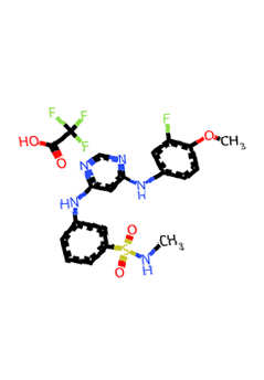 CNS(=O)(=O)c1cccc(Nc2cc(Nc3ccc(OC)c(F)c3)ncn2)c1.O=C(O)C(F)(F)F